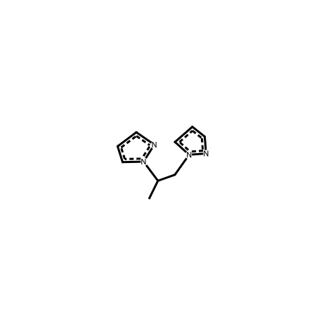 CC(Cn1cccn1)n1cccn1